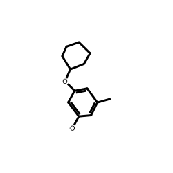 Cc1cc([O])cc(OC2CCCCC2)c1